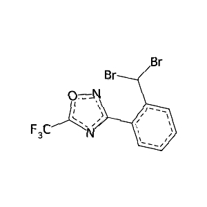 FC(F)(F)c1nc(-c2ccccc2C(Br)Br)no1